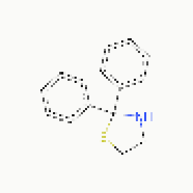 c1ccc(C2(c3ccccc3)NCCS2)cc1